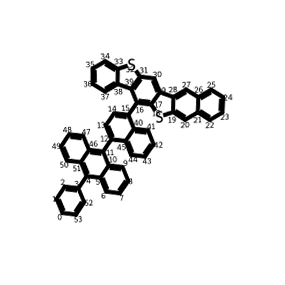 c1ccc(-c2c3ccccc3c(-c3ccc(-c4c5sc6cc7ccccc7cc6c5cc5sc6ccccc6c45)c4ccccc34)c3ccccc23)cc1